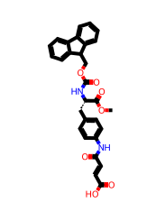 COC(=O)[C@H](Cc1ccc(NC(=O)C=CC(=O)O)cc1)NC(=O)OCC1c2ccccc2-c2ccccc21